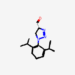 CC(C)C1=CCCC(C(C)C)=C1N1C[C@H](C=O)N=N1